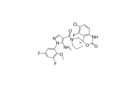 COc1c(F)cc(F)cc1-n1ncc(C(=O)N2CCC[C@@]3(C2)OC(=O)Nc2ccc(Cl)c(F)c23)c1N